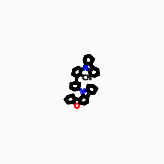 N#Cc1c(-c2cccc(-n3c4ccccc4c4ccc5oc6ccccc6c5c43)c2)cccc1-n1c2ccccc2c2ccccc21